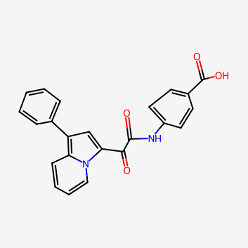 O=C(Nc1ccc(C(=O)O)cc1)C(=O)c1cc(-c2ccccc2)c2ccccn12